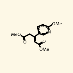 COC(=O)/C=C(/CC(=O)OC)c1ccc(OC)nc1